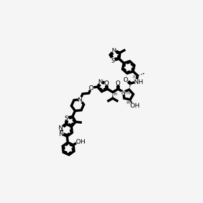 Cc1ncsc1-c1ccc([C@H](C)NC(=O)[C@@H]2C[C@@H](O)CN2C(=O)[C@@H](c2cc(OCCN3CCC(c4sc5nnc(-c6ccccc6O)cc5c4C)CC3)no2)C(C)C)cc1